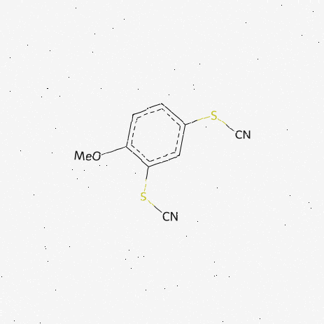 COc1ccc(SC#N)cc1SC#N